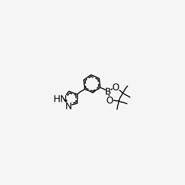 CC1(C)OB(c2cccc(-c3cn[nH]c3)c2)OC1(C)C